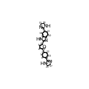 c1cc(-c2ccc(-c3nc4ccc(C5=NCCN5)cc4[nH]3)o2)ccc1C1=NCCN1